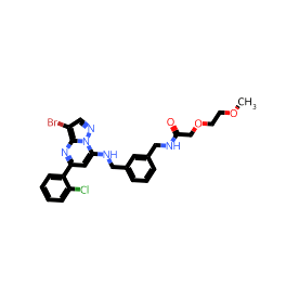 COCCOCC(=O)NCc1cccc(CNc2cc(-c3ccccc3Cl)nc3c(Br)cnn23)c1